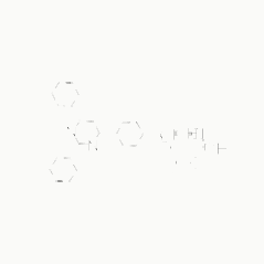 CC(C)(O)C(C)(C)OBc1ccc(-c2cc(-c3ccccc3)nc(-c3ccccc3)n2)cc1